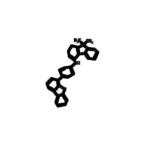 CC1(C)C2=C(C(Nc3ccc(-c4cccc5c4oc4ccccc45)cc3)=CCC2)c2ccccc21